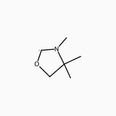 CN1[CH]OCC1(C)C